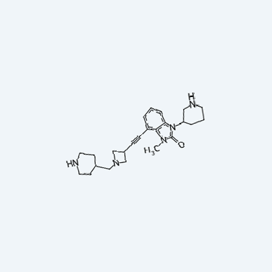 Cn1c(=O)n(C2CCCNC2)c2cccc(C#CC3CN(CC4CCNCC4)C3)c21